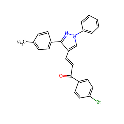 Cc1ccc(-c2nn(-c3ccccc3)cc2C=CC(=O)c2ccc(Br)cc2)cc1